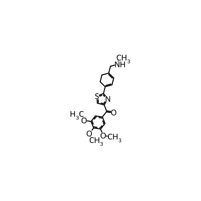 CNCC1=CC=C(c2nc(C(=O)c3cc(OC)c(OC)c(OC)c3)cs2)CC1